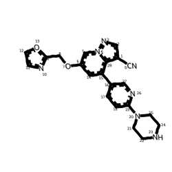 N#Cc1cnn2cc(OCc3ncco3)cc(-c3ccc(N4CCNCC4)nc3)c12